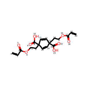 C=CC(=O)OCCC1(C(=O)O)C=CC(CCOC(=O)C=C)(C(=O)O)C=C1